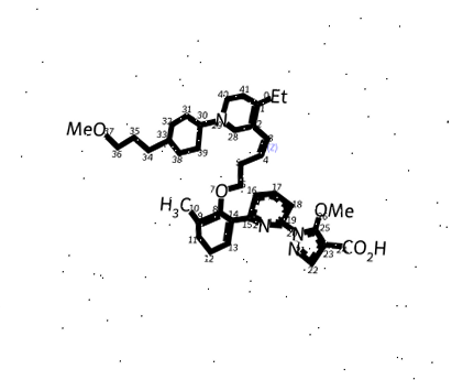 CCC1=C(/C=C\CCOC2=C(C)CCC=C2c2cccc(-n3ncc(C(=O)O)c3OC)n2)CN(C2CCC(CCCOC)CC2)CC1